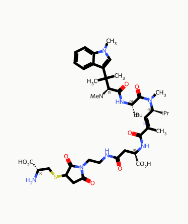 CN[C@H](C(=O)N[C@H](C(=O)N(C)[C@H](/C=C(\C)C(=O)N[C@H](CC(=O)NCCN1C(=O)CC(SC[C@H](N)C(=O)O)C1=O)C(=O)O)C(C)C)C(C)(C)C)C(C)(C)c1cn(C)c2ccccc12